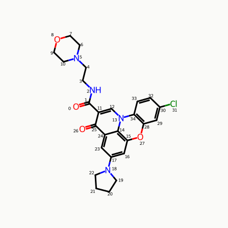 O=C(NCCN1CCOCC1)c1cn2c3c(cc(N4CCCC4)cc3c1=O)Oc1cc(Cl)ccc1-2